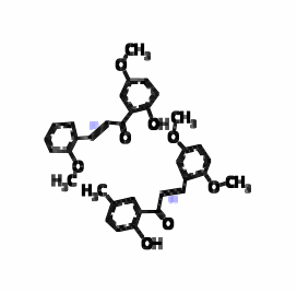 COc1ccc(O)c(C(=O)/C=C/c2ccccc2OC)c1.COc1ccc(OC)c(/C=C/C(=O)c2cc(C)ccc2O)c1